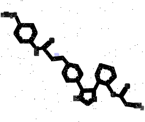 C=CC(=O)Oc1ccccc1-c1nc[nH]c1-c1ccc(/C=C/C(=O)Nc2ccc(CCCCCCC)cc2)cc1